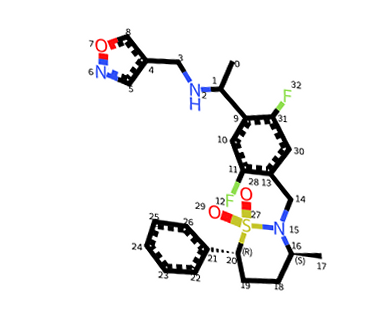 CC(NCc1cnoc1)c1cc(F)c(CN2[C@@H](C)CC[C@H](c3ccccc3)S2(=O)=O)cc1F